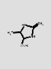 C=C1NC(C)C(NC(C)=O)N1